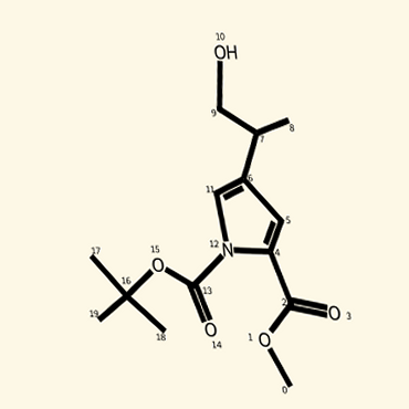 COC(=O)c1cc(C(C)CO)cn1C(=O)OC(C)(C)C